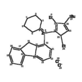 CCC1=[C]([Zr+2](=[C]2CCCCC2)[c]2cccc3c2Cc2ccccc2-3)C(CC)C=C1C(C)(C)C.[Cl-].[Cl-]